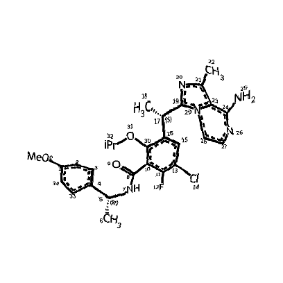 COc1ccc([C@@H](C)NC(=O)c2c(F)c(Cl)cc([C@H](C)c3nc(C)c4c(N)nccn34)c2OC(C)C)cc1